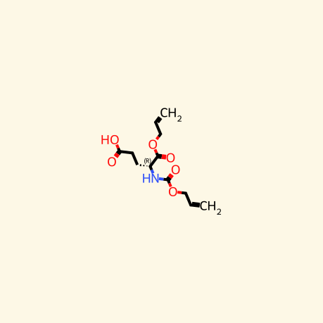 C=CCOC(=O)N[C@H](CCC(=O)O)C(=O)OCC=C